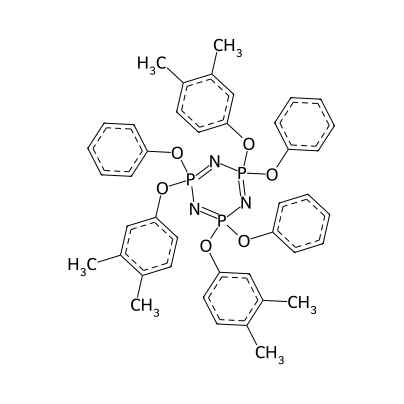 Cc1ccc(OP2(Oc3ccccc3)=NP(Oc3ccccc3)(Oc3ccc(C)c(C)c3)=NP(Oc3ccccc3)(Oc3ccc(C)c(C)c3)=N2)cc1C